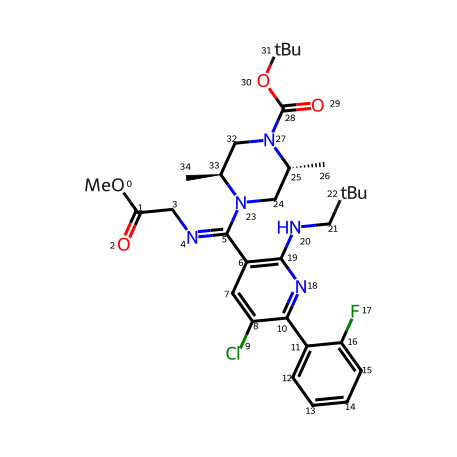 COC(=O)CN=C(c1cc(Cl)c(-c2ccccc2F)nc1NCC(C)(C)C)N1C[C@@H](C)N(C(=O)OC(C)(C)C)C[C@@H]1C